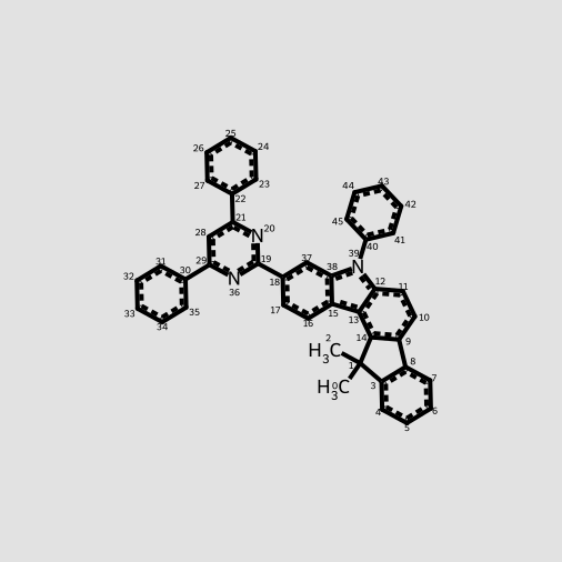 CC1(C)c2ccccc2-c2ccc3c(c21)c1ccc(-c2nc(-c4ccccc4)cc(-c4ccccc4)n2)cc1n3-c1ccccc1